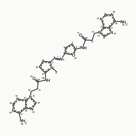 Cn1c(/C=N/c2ccc(NC(=O)CCn3cnc4c(N)ncnc43)o2)ccc1NC(=O)CCn1cnc2c(N)ncnc21